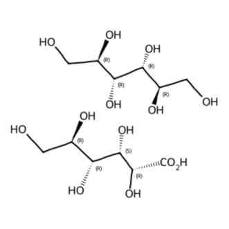 O=C(O)[C@H](O)[C@@H](O)[C@H](O)[C@H](O)CO.OC[C@@H](O)[C@@H](O)[C@H](O)[C@H](O)CO